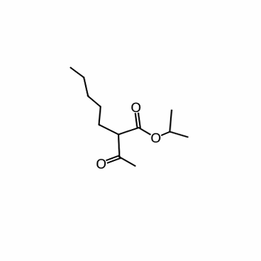 CCCCCC(C(C)=O)C(=O)OC(C)C